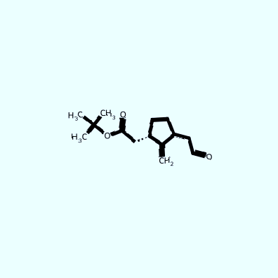 C=C1C(CC=O)CC[C@H]1CC(=O)OC(C)(C)C